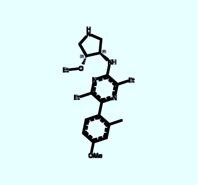 CCO[C@@H]1CNC[C@H]1Nc1nc(CC)c(-c2ccc(OC)cc2C)nc1CC